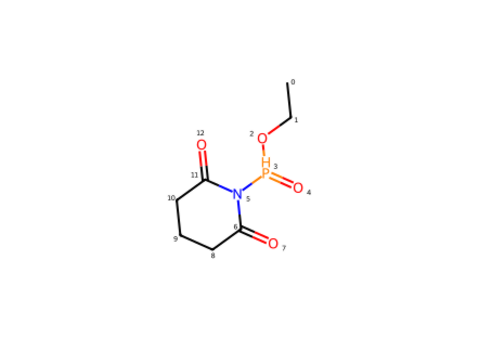 CCO[PH](=O)N1C(=O)CCCC1=O